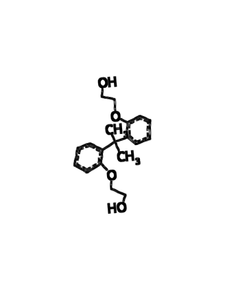 CC(C)(c1ccccc1OCCO)c1ccccc1OCCO